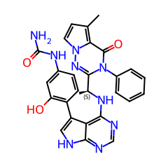 Cc1ccn2nc([C@H](C)Nc3ncnc4[nH]cc(-c5ccc(NC(N)=O)cc5O)c34)n(-c3ccccc3)c(=O)c12